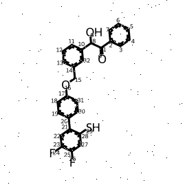 O=C(c1ccccc1)C(O)c1cccc(COc2ccc(-c3cc(F)c(F)cc3S)cc2)c1